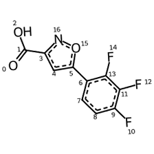 O=C(O)c1cc(-c2ccc(F)c(F)c2F)on1